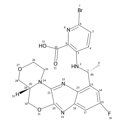 C[C@@H](Nc1ccc(Br)nc1C(=O)O)c1cc(F)cc2nc3c(nc12)N1CCOC[C@H]1CO3